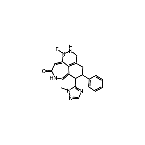 Cn1ncnc1C1C2=CNC(=O)C=C3C2=C(CNN3F)CC1c1ccccc1